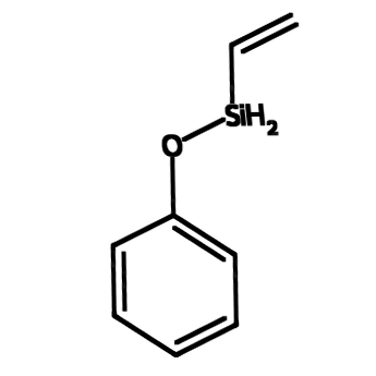 C=C[SiH2]Oc1ccccc1